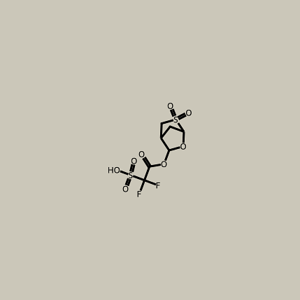 O=C(OC1OC2CC1CS2(=O)=O)C(F)(F)S(=O)(=O)O